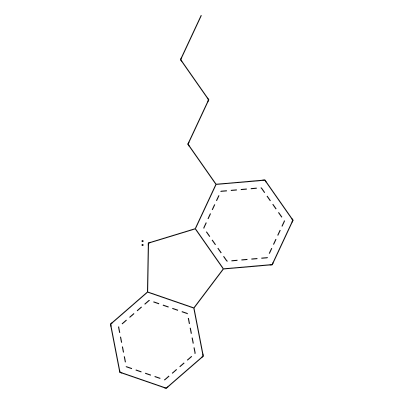 CCCCc1cccc2c1[C]c1ccccc1-2